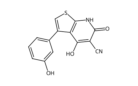 N#Cc1c(O)c2c(-c3cccc(O)c3)csc2[nH]c1=O